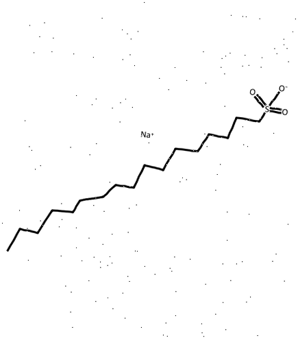 CCCCCCCCCCCCCCCCCS(=O)(=O)[O-].[Na+]